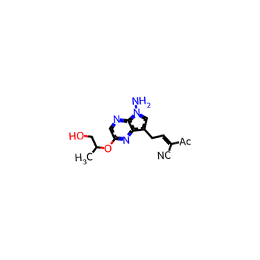 CC(=O)/C(C#N)=C/Cc1cn(N)c2ncc(OC(C)CO)nc12